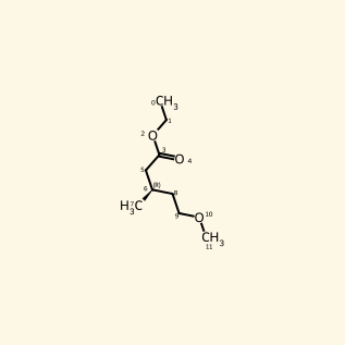 CCOC(=O)C[C@H](C)CCOC